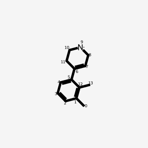 Cc1cccc(C2=CC[N]CC2)c1C